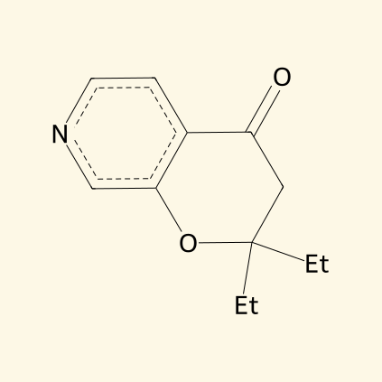 CCC1(CC)CC(=O)c2ccncc2O1